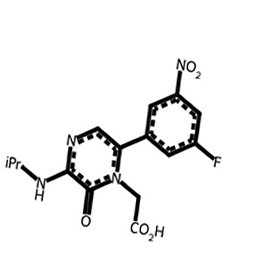 CC(C)Nc1ncc(-c2cc(F)cc([N+](=O)[O-])c2)n(CC(=O)O)c1=O